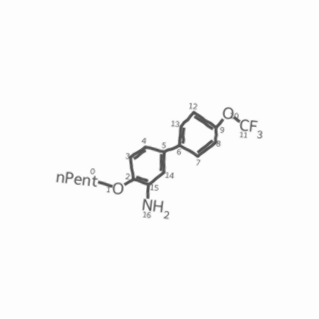 CCCCCOc1ccc(-c2ccc(OC(F)(F)F)cc2)cc1N